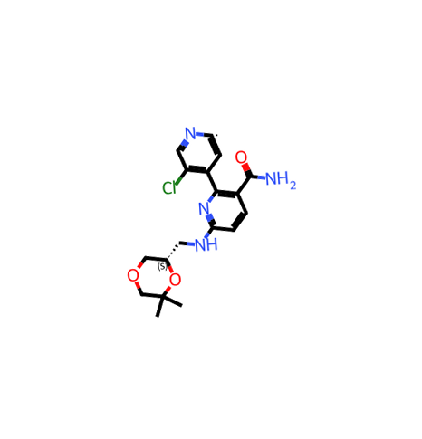 CC1(C)COC[C@H](CNc2ccc(C(N)=O)c(-c3c[c]ncc3Cl)n2)O1